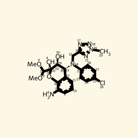 COC(OC)[C@@]1(C)Oc2c(N)cccc2[C@@H](N(Cc2nnn(C)n2)c2ccc(Cl)cc2)[C@@H]1O